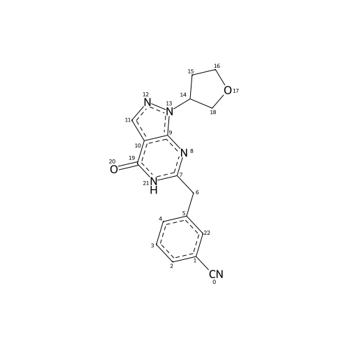 N#Cc1cccc(Cc2nc3c(cnn3C3CCOC3)c(=O)[nH]2)c1